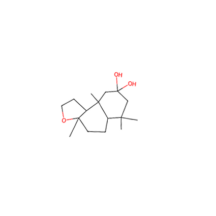 CC1(C)CC(O)(O)CC2(C)C1CCC1(C)OCCC12